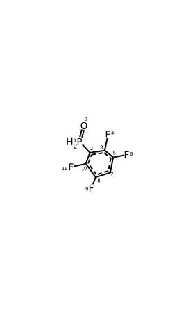 O=[PH2]c1c(F)c(F)cc(F)c1F